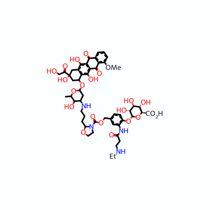 CCNCCC(=O)Nc1cc(COC(=O)N2CCOC2CCCNC2CC(OC3C[C@](O)(C(=O)CO)Cc4c(O)c5c(c(O)c43)C(=O)c3c(OC)cccc3C5=O)OC(C)C2O)ccc1O[C@@H]1O[C@H](C(=O)O)[C@@H](O)[C@H](O)[C@H]1O